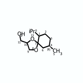 CC(C)C1CC[C@@H](C)CC12OCC(CO)O2